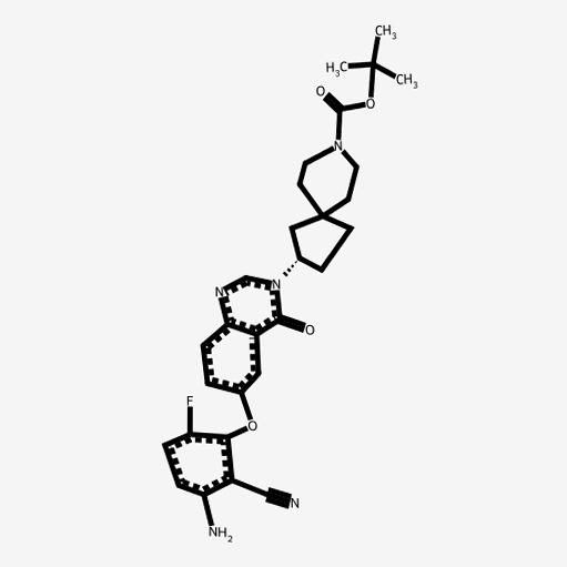 CC(C)(C)OC(=O)N1CCC2(CC[C@H](n3cnc4ccc(Oc5c(F)ccc(N)c5C#N)cc4c3=O)C2)CC1